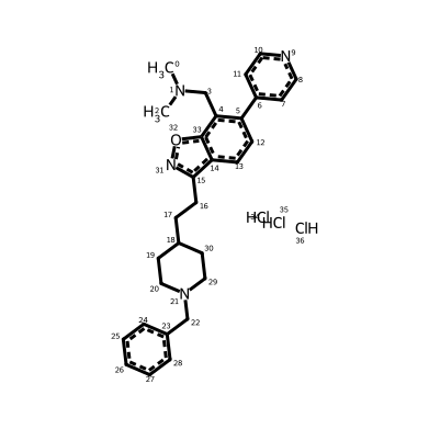 CN(C)Cc1c(-c2ccncc2)ccc2c(CCC3CCN(Cc4ccccc4)CC3)noc12.Cl.Cl.Cl